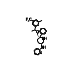 Cc1cc(C(C)OC[C@@]2(c3ccccc3)CCC(Nc3ccccn3)CN2)cc(C(F)(F)F)c1